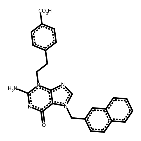 Nc1nc(=O)c2c(ncn2Cc2ccc3ccccc3c2)n1CCc1ccc(C(=O)O)cc1